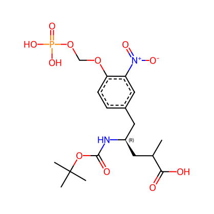 CC(C[C@H](Cc1ccc(OCOP(=O)(O)O)c([N+](=O)[O-])c1)NC(=O)OC(C)(C)C)C(=O)O